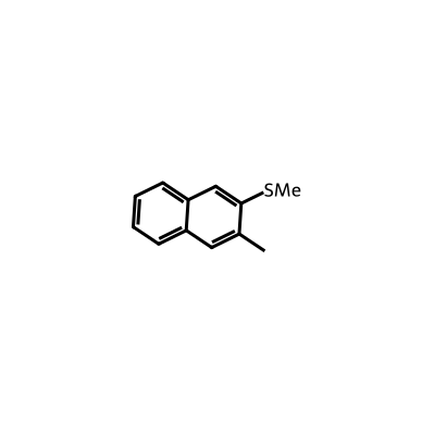 CSc1cc2ccccc2cc1C